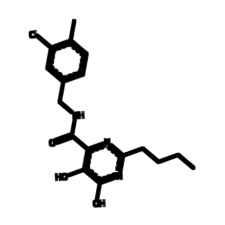 CCCCc1nc(O)c(O)c(C(=O)NCc2ccc(C)c(Cl)c2)n1